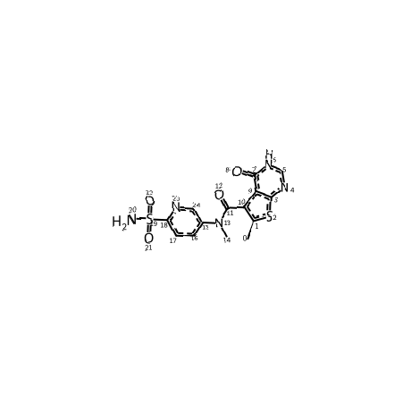 Cc1sc2nc[nH]c(=O)c2c1C(=O)N(C)c1ccc(S(N)(=O)=O)nc1